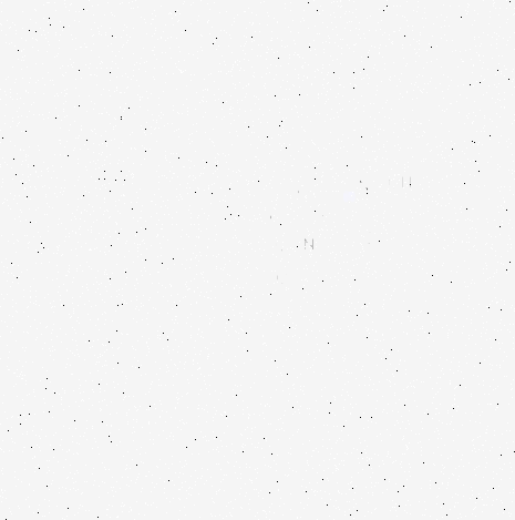 Cc1c(Cc2ccccc2)cccc1S(=O)(=O)N1CCS/C(=N\O)C1=O